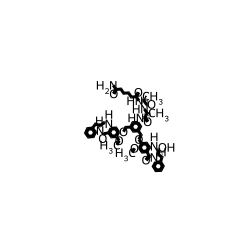 COc1cc2c(cc1OCc1cc(COc3cc4c(cc3OC)C(=O)N3c5ccccc5C[C@H]3C(O)N4)cc(NC(=O)[C@@H](C)NC(=O)[C@H](C)NC(=O)CCCCC(N)=O)c1)NC[C@@H]1Cc3ccccc3N1C2=O